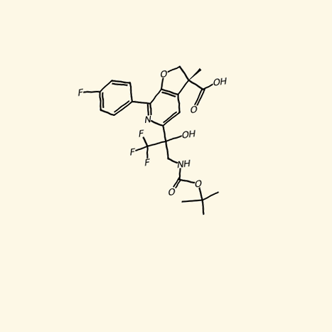 CC(C)(C)OC(=O)NCC(O)(c1cc2c(c(-c3ccc(F)cc3)n1)OC[C@]2(C)C(=O)O)C(F)(F)F